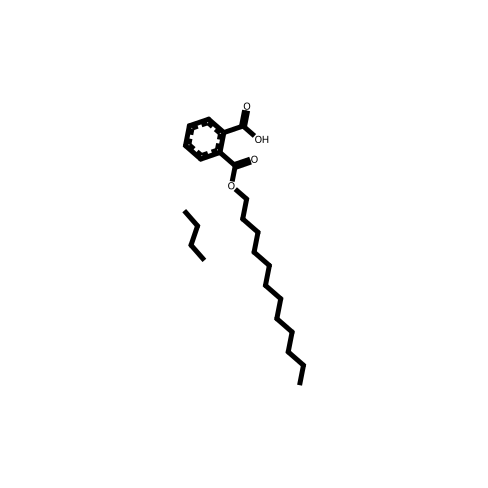 CCCC.CCCCCCCCCCCCOC(=O)c1ccccc1C(=O)O